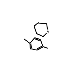 C1CCSCC1.Cc1ccc(C)cc1